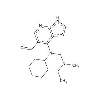 CCN(C)CN(c1c(C=O)cnc2[nH]ccc12)C1CCCCC1